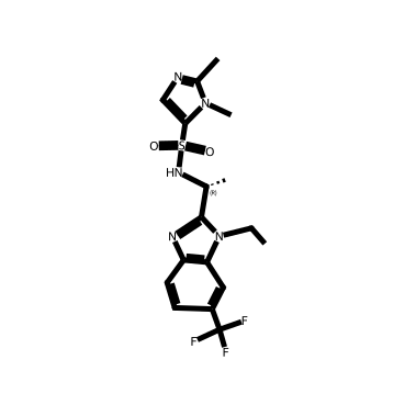 CCn1c([C@@H](C)NS(=O)(=O)c2cnc(C)n2C)nc2ccc(C(F)(F)F)cc21